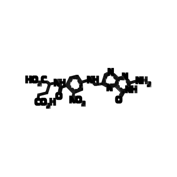 Nc1nc2ncc(CNc3ccc(C(=O)NC(CCC(=O)O)C(=O)O)c([N+](=O)[O-])c3)nc2c(=O)[nH]1